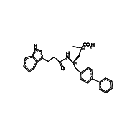 C[C@H](C[C@@H](Cc1ccc(-c2ccccc2)cc1)NC(=O)CCc1c[nH]c2ccccc12)C(=O)O